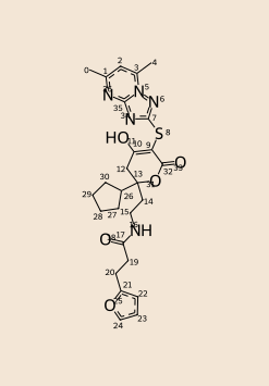 Cc1cc(C)n2nc(SC3=C(O)CC(CCNC(=O)CCc4ccco4)(C4CCCC4)OC3=O)nc2n1